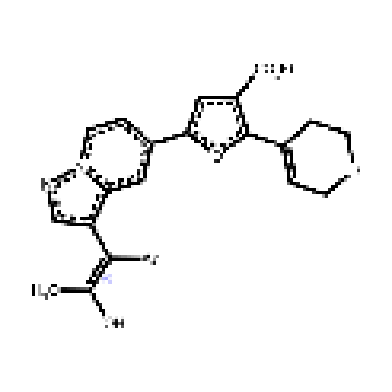 CCOC(=O)c1cc(-c2ccn3ncc(/C(C(C)=O)=C(\C)O)c3c2)oc1C1=CCOCC1